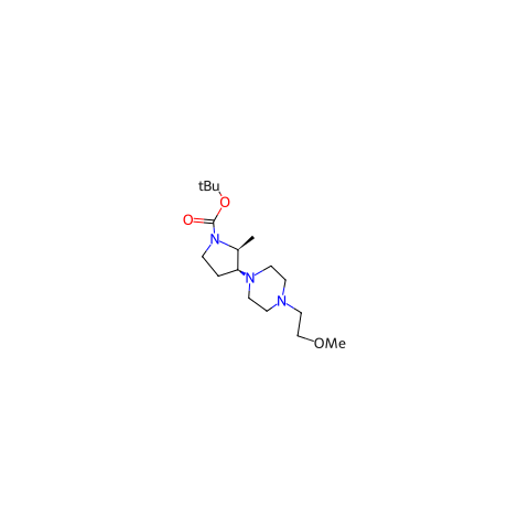 COCCN1CCN([C@H]2CCN(C(=O)OC(C)(C)C)[C@H]2C)CC1